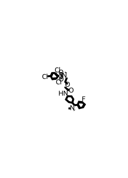 CN(C)C(c1cccc(F)c1)C1CCC(NC(=O)COCCN(C)S(=O)(=O)c2c(Cl)cc(Cl)cc2Cl)CC1